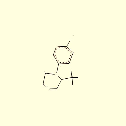 CC(C)(C)C1CNCCN1c1ccc(Br)nc1